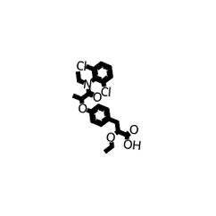 CCOC(Cc1ccc(OC(C)C(=O)N(CC)c2c(Cl)cccc2Cl)cc1)C(=O)O